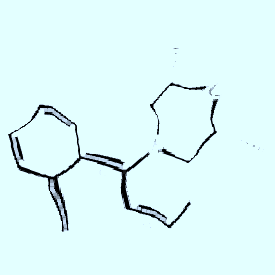 C=c1cccc/c1=C(/C=C\C)N1C[C@@H](C)O[C@@H](C)C1